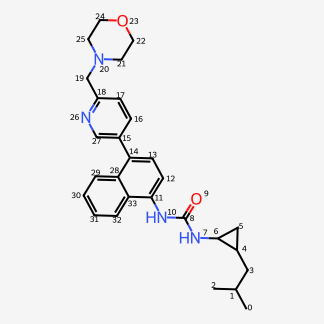 CC(C)CC1CC1NC(=O)Nc1ccc(-c2ccc(CN3CCOCC3)nc2)c2ccccc12